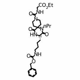 CCCN1C(=O)[C@H](CCCCNC(=O)OCc2ccccc2)NC(=O)C12CCN(C(=O)NCC(=O)OCC)CC2